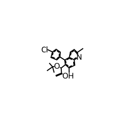 C=C(O)[C@@H](OC(C)(C)C)c1c(C)cc2nc(C)ccc2c1-c1ccc(Cl)cc1